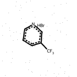 Br.FC(F)(F)c1cccnc1